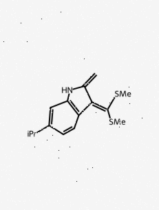 C=c1[nH]c2cc(C(C)C)ccc2c1=C(SC)SC